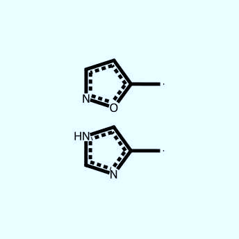 [CH2]c1c[nH]cn1.[CH2]c1ccno1